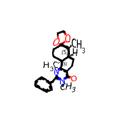 C[C@H]1[C@@H]2CCc3c(nc(-c4ccccc4)n(C)c3=O)[C@@]2(C)CCC12OCCO2